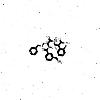 CNC(=O)C(CN(C)C(=O)[C@@H](COCc1ccccc1)N(C)C(=O)c1cccc(CN)c1)c1ccccc1F